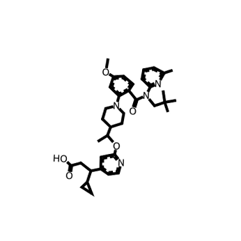 COc1ccc(C(=O)N(CC(C)(C)C)c2cccc(C)n2)c(N2CCC(C(C)Oc3cc(C(CC(=O)O)C4CC4)ccn3)CC2)c1